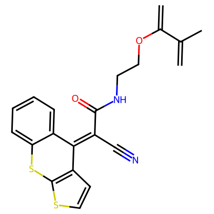 C=C(C)C(=C)OCCNC(=O)C(C#N)=C1c2ccccc2Sc2sccc21